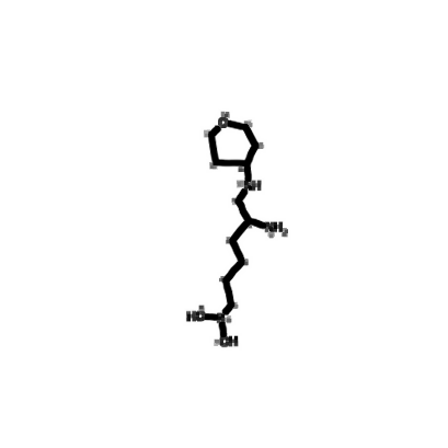 NC(CCCCB(O)O)CNC1CCOCC1